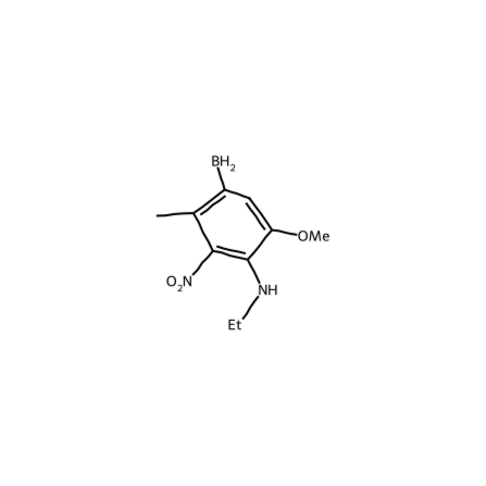 Bc1cc(OC)c(NCC)c([N+](=O)[O-])c1C